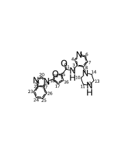 O=C(Nc1cnccc1N1CCNCC1)c1ccc(-n2cnc3ccccc32)o1